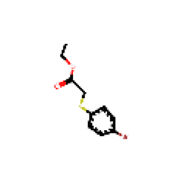 CCOC(=O)CSc1ccc(Br)cc1